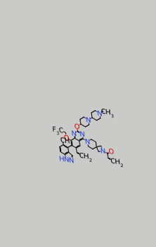 C=CC(=O)N1CC2(CCN(c3nc(OC4CCN(C5CCN(C)CC5)CC4)nc4c(OCC(F)(F)F)c(-c5c(C)ccc6[nH]ncc56)c(C=C)cc34)CC2)C1